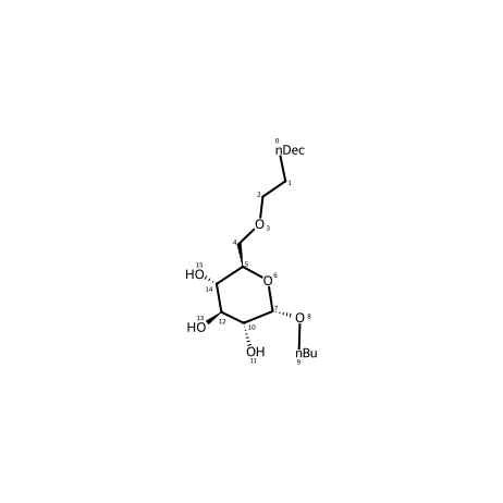 CCCCCCCCCCCCOC[C@H]1O[C@H](OCCCC)[C@H](O)[C@@H](O)[C@@H]1O